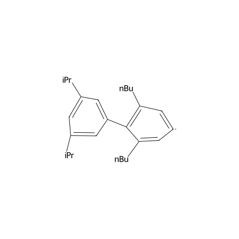 CCCCc1c[c]cc(CCCC)c1-c1cc(C(C)C)cc(C(C)C)c1